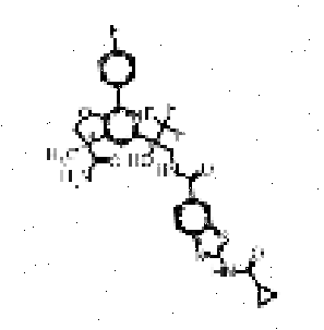 C[C@]1(C(N)=O)COc2c1cc([C@@](O)(CNC(=O)c1ccc3nc(NC(=O)C4CC4)sc3c1)C(F)(F)F)nc2-c1ccc(F)cc1